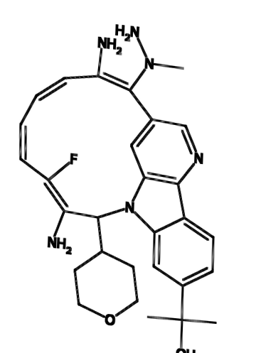 CN(N)/C1=C(N)/C=C\C=C/C(F)=C(\N)C(C2CCOCC2)n2c3cc(C(C)(C)O)ccc3c3ncc1cc32